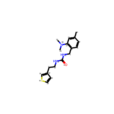 Cc1ccc(CNC(=O)NCCc2ccsc2)c(N(C)C)c1